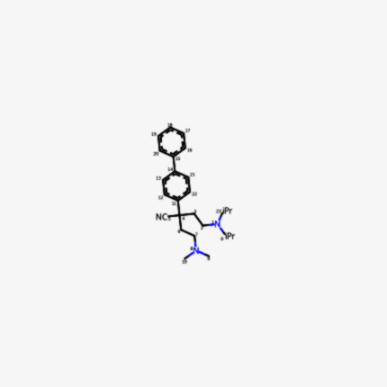 CC(C)N(CCC(C#N)(CCN(C)C)c1ccc(-c2ccccc2)cc1)C(C)C